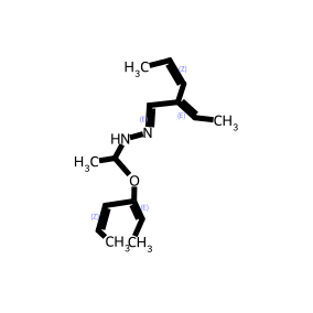 C\C=C/C(/C=N/NC(C)OC(/C=C\C)=C/C)=C\C